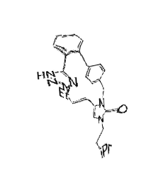 CCC=Cc1cn(CCC(C)C)c(=O)n1Cc1ccc(-c2ccccc2-c2nnn[nH]2)cc1